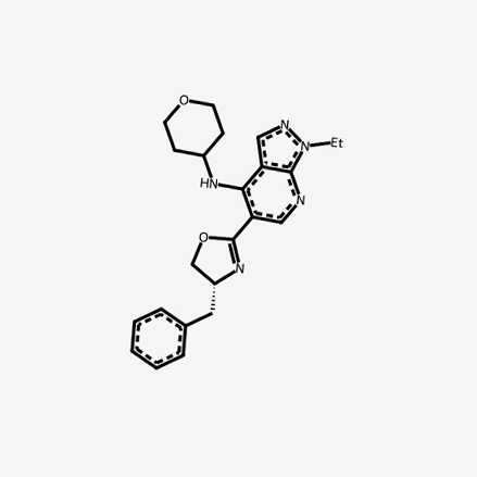 CCn1ncc2c(NC3CCOCC3)c(C3=N[C@H](Cc4ccccc4)CO3)cnc21